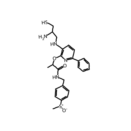 CC(Oc1nc(-c2ccccc2)ccc1NCC(N)CS)C(=O)NCc1ccc([S+](C)[O-])cc1